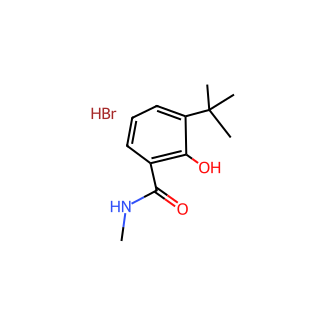 Br.CNC(=O)c1cccc(C(C)(C)C)c1O